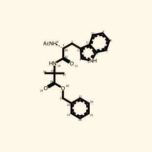 CC(=O)N[C@H](Cc1c[nH]c2ccccc12)C(=O)NC(C)(C)C(=O)OCc1ccccc1